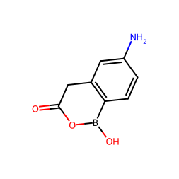 Nc1ccc2c(c1)CC(=O)OB2O